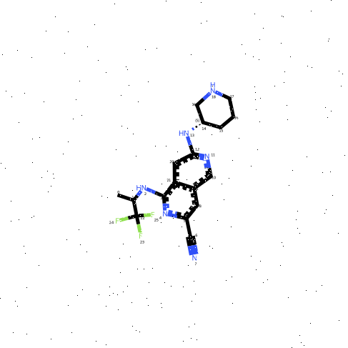 CC(Nc1nc(C#N)cc2cnc(N[C@H]3CCCNC3)cc12)C(F)(F)F